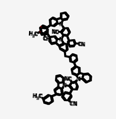 Cc1cccc(-c2ccc3c(c2)c2ccccc2n3-c2c(-c3cccc(C#N)c3)ccc(-n3c4ccccc4c4cc(-c5cccc(Cc6ccc7c(c6)c6ccc(-c8cccc(C)c8)cc6n7-c6c(-c7cccc(C#N)c7)ccc(-n7c8ccccc8c8ccc(-c9cccc(C)c9)cc87)c6C#N)c5)ccc43)c2C#N)c1